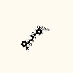 CCOc1ccccc1C(=O)CCc1coc(-c2ccc(OC)c(OC)c2)n1